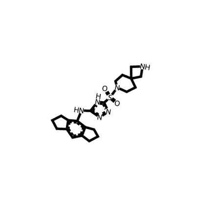 O=S(=O)(c1nnc(Nc2c3c(cc4c2CCC4)CCC3)[nH]1)N1CCC2(CC1)CNC2